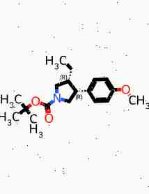 CC[C@H]1CN(C(=O)OC(C)(C)C)C[C@H]1c1ccc(OC)cc1